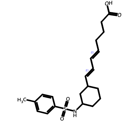 Cc1ccc(S(=O)(=O)NC2CCCC(/C=C/C=C/CCCC(=O)O)C2)cc1